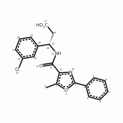 Cc1oc(-c2ccccc2)nc1C(=O)N[C@@H](CC(=O)O)c1cccc(Cl)c1